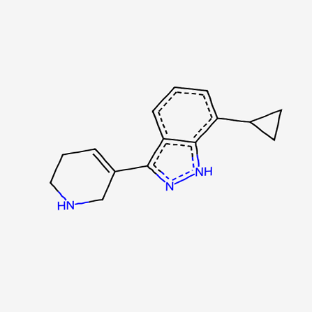 C1=C(c2n[nH]c3c(C4CC4)cccc23)CNCC1